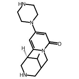 CC1C2CNC[C@H]1c1cc(N3CCNCC3)cc(=O)n1C2